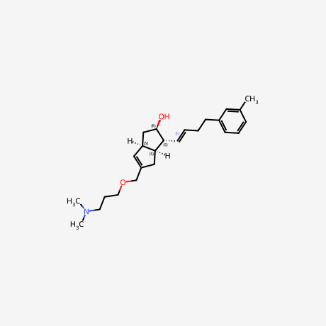 Cc1cccc(CC/C=C/[C@@H]2[C@H]3CC(COCCCN(C)C)=C[C@H]3C[C@H]2O)c1